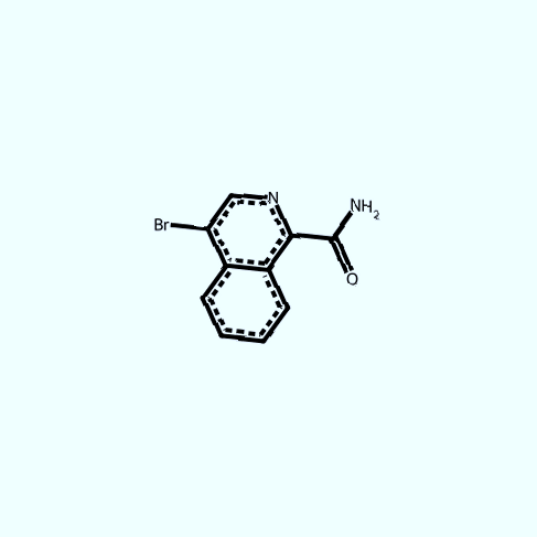 NC(=O)c1ncc(Br)c2ccccc12